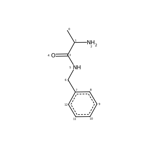 CC(N)C(=O)N[CH]c1ccccc1